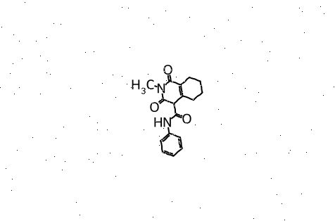 CN1C(=O)C2=C(CCCC2)C(C(=O)Nc2ccccc2)C1=O